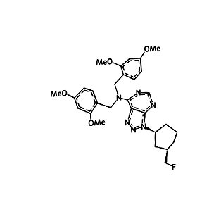 COc1ccc(CN(Cc2ccc(OC)cc2OC)c2ncnc3c2nnn3[C@H]2CCC[C@@H](CF)C2)c(OC)c1